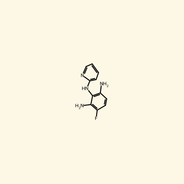 Nc1ccc(F)c(N)c1Nc1ccccn1